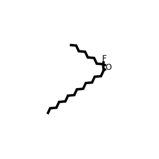 CCCCCCCCCCCCCC1OC1(F)CCCCCCC